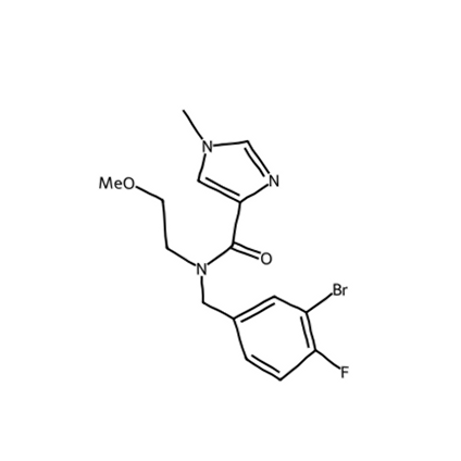 COCCN(Cc1ccc(F)c(Br)c1)C(=O)c1cn(C)cn1